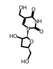 O=c1[nH]c(=O)n([C@H]2O[C@@H](CO)CC2O)cc1CO